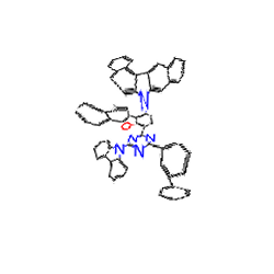 c1ccc(-c2cccc(-c3nc(-c4ccc(-n5c6cc7ccccc7cc6c6c7ccccc7ccc65)c5c4oc4c6ccccc6ccc45)nc(-n4c5ccccc5c5ccccc54)n3)c2)cc1